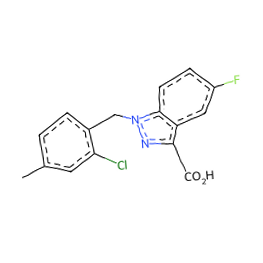 Cc1ccc(Cn2nc(C(=O)O)c3cc(F)ccc32)c(Cl)c1